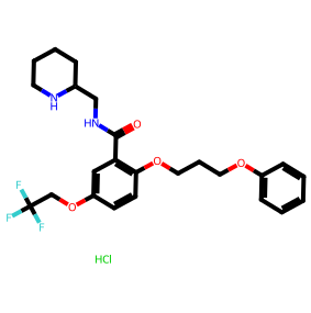 Cl.O=C(NCC1CCCCN1)c1cc(OCC(F)(F)F)ccc1OCCCOc1ccccc1